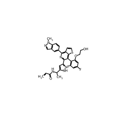 C=CC(=O)NC(C)c1cc(-c2nc(-c3ccc4c(cnn4C)c3)c3ccsc3c2-c2c(F)cc(F)cc2OCCO)n[nH]1